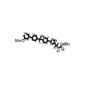 COc1cncc(-c2ccc(C(C)(c3ccc(-c4noc(C(C)(C)NC(=O)OC(C)(C)C)n4)cn3)C(C)C)cc2)c1